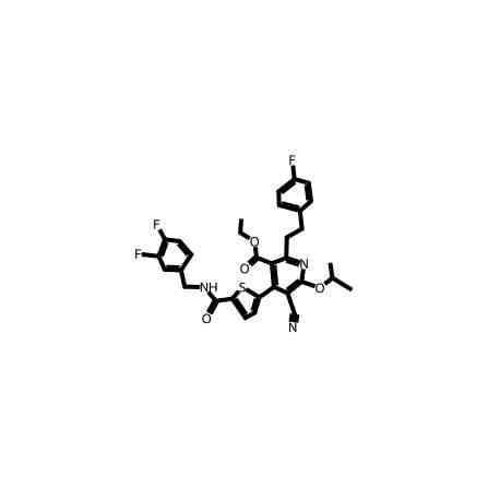 CCOC(=O)c1c(CCc2ccc(F)cc2)nc(OC(C)C)c(C#N)c1-c1ccc(C(=O)NCc2ccc(F)c(F)c2)s1